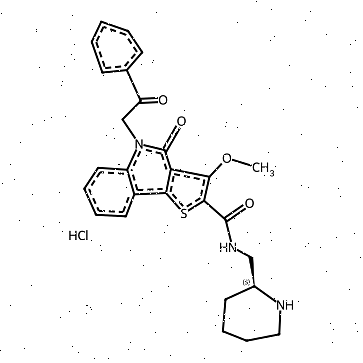 COc1c(C(=O)NC[C@@H]2CCCCN2)sc2c1c(=O)n(CC(=O)c1ccccc1)c1ccccc21.Cl